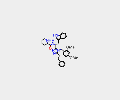 COc1ccc(Cn2c(CCc3ccccc3)nnc2[C@@H](Cc2c[nH]c3ccccc23)NC(=O)C2CCCCN2)c(OC)c1